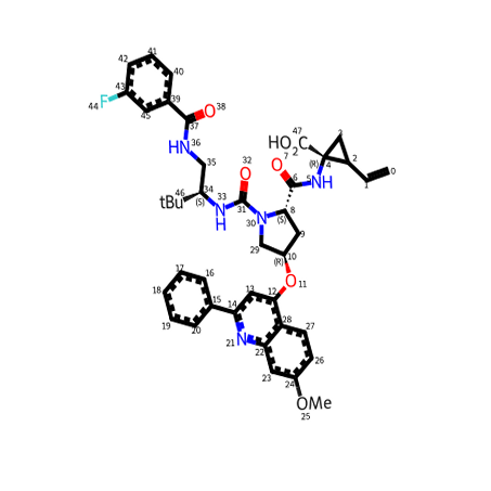 C=CC1C[C@]1(NC(=O)[C@@H]1C[C@@H](Oc2cc(-c3ccccc3)nc3cc(OC)ccc23)CN1C(=O)N[C@H](CNC(=O)c1cccc(F)c1)C(C)(C)C)C(=O)O